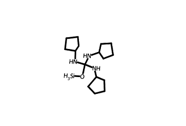 [SiH3]OC(NC1CCCC1)(NC1CCCC1)NC1CCCC1